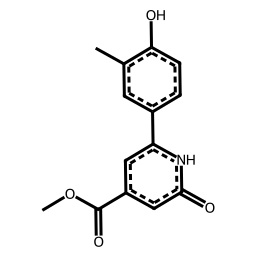 COC(=O)c1cc(-c2ccc(O)c(C)c2)[nH]c(=O)c1